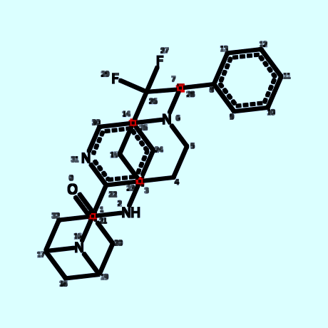 O=C(NC1CCN(Cc2ccccc2)CC1)N1C2CC1CN(c1ncc(C(F)(F)F)cn1)C2